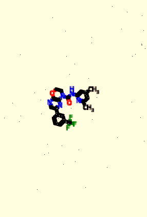 Cc1cc(C)nc(NC(=O)N2CCOc3ncc(-c4cccc(C(F)(F)F)c4)nc32)c1